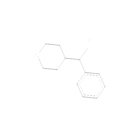 Br.CC(c1ccccc1)C1CCNCC1